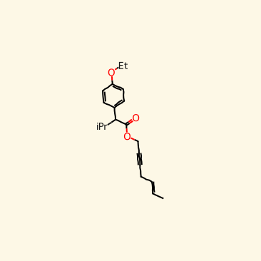 C/C=C/CC#CCOC(=O)C(c1ccc(OCC)cc1)C(C)C